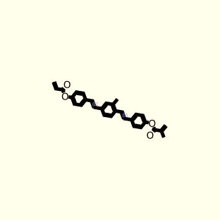 C=CC(=O)Oc1ccc(/C=C/c2ccc(/C=C/c3ccc(OC(=O)C(=C)C)cc3)c(C)c2)cc1